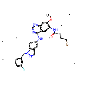 COc1cc2ncnc(Nc3ccc4c(cnn4Cc4cccc(F)c4)c3)c2cc1NC(=O)C=CCBr